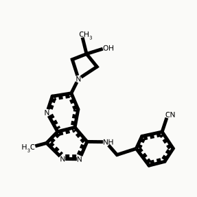 Cc1nnc(NCc2cccc(C#N)c2)c2cc(N3CC(C)(O)C3)cnc12